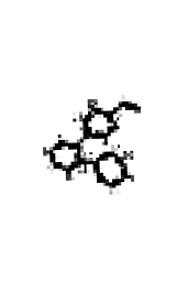 C=Cc1ccc(-c2ccccc2-c2ccccc2)cc1